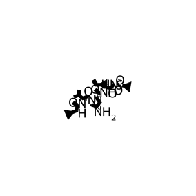 C=CC1CC1(NC(=O)[C@@H]1C[C@@H](N)CN1C(=O)[C@@H](NC(=O)CC1CC1)C(=C)C)C(=O)NS(=O)(=O)C1CC1